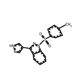 Cc1ccc(S(=O)(=O)n2nc(-c3cn[nH]c3)c3ccccc32)cc1